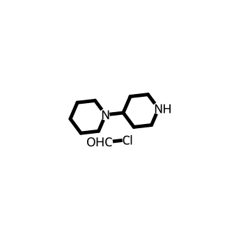 C1CCN(C2CCNCC2)CC1.O=CCl